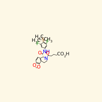 CS(C)(C)c1c(F)cc(NC(=O)[C@H]2c3ccc4c(c3CCN2C(=O)CCCC(=O)O)OCO4)cc1F